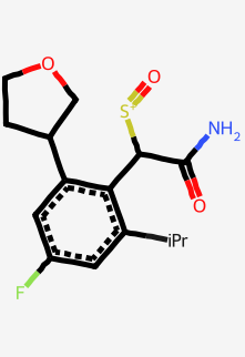 CC(C)c1cc(F)cc(C2CCOC2)c1C([S+]=O)C(N)=O